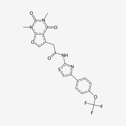 Cn1c(=O)c2c(CC(=O)Nc3nc(-c4ccc(OC(F)(F)F)cc4)cs3)coc2n(C)c1=O